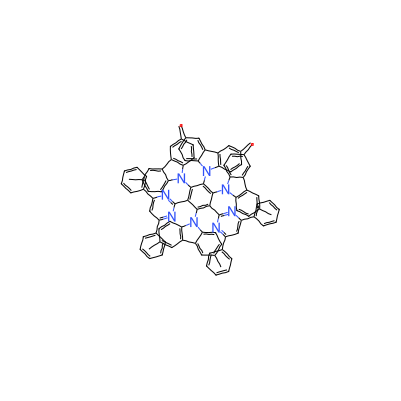 Cc1ccc2c(c1)c1cc(C)ccc1n2-c1c(-c2nc(-c3ccccc3)cc(-c3ccccc3)n2)c(-n2c3ccc(C)cc3c3cc(C)ccc32)c(-n2c3ccc(C)cc3c3cc(C)ccc32)c(-n2c3ccc(C)cc3c3cc(C)ccc32)c1-c1nc(-c2ccccc2)cc(-c2ccccc2)n1